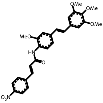 COc1cc(C=Cc2cc(OC)c(OC)c(OC)c2)ccc1NC(=O)/C=C/c1ccc([N+](=O)[O-])cc1